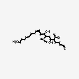 CCCCCCCC/C=C\CC(O)C(CC(O)C(CCCC=O)[N+](=O)[O-])[N+](=O)[O-]